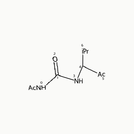 CC(=O)NC(=O)NC(C(C)=O)C(C)C